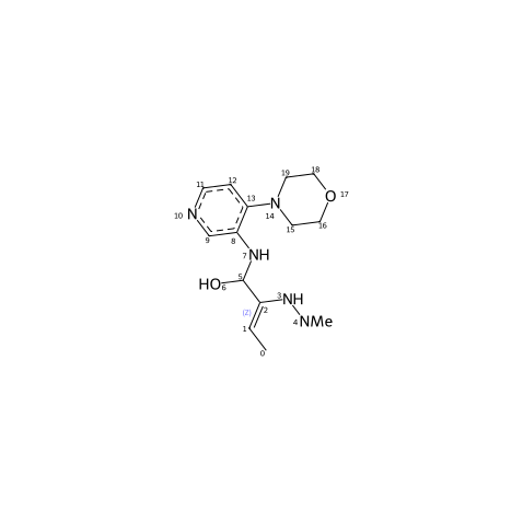 C/C=C(\NNC)C(O)Nc1cnccc1N1CCOCC1